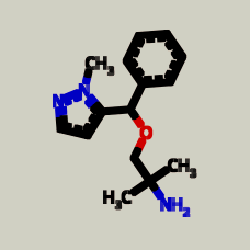 Cn1nccc1C(OCC(C)(C)N)c1ccccc1